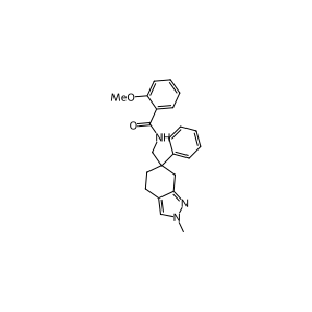 COc1ccccc1C(=O)NCC1(c2ccccc2)CCc2cn(C)nc2C1